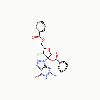 Nc1nc2c(nnn2[C@@]2(OC(=O)c3ccccc3)CO[C@H](COC(=O)c3ccccc3)[C@H]2F)c(=O)[nH]1